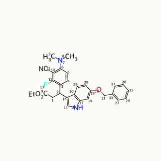 CCOC(=O)CC(c1ccc(N(C)C)c(C#N)c1F)c1c[nH]c2cc(OCc3ccccc3)ccc12